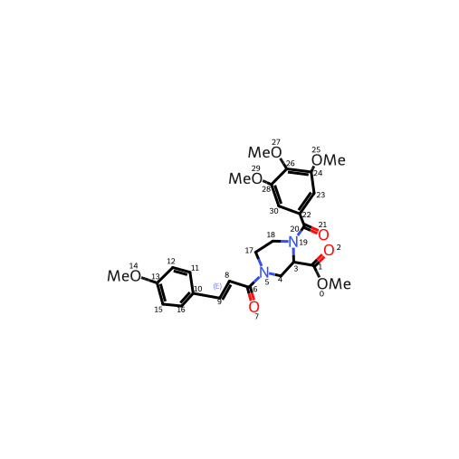 COC(=O)C1CN(C(=O)/C=C/c2ccc(OC)cc2)CCN1C(=O)c1cc(OC)c(OC)c(OC)c1